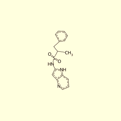 CC(Cc1ccccc1)S(=O)(=O)Nc1cc2ncccc2[nH]1